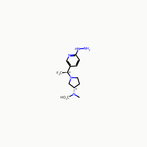 CN(C(=O)O)[C@H]1CCN([C@H](c2ccc(NN)nc2)C(F)(F)F)C1